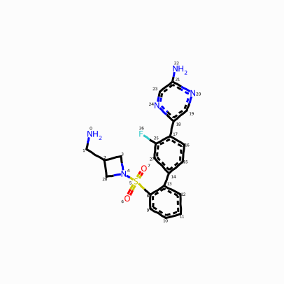 NCC1CN(S(=O)(=O)c2ccccc2-c2ccc(-c3cnc(N)cn3)c(F)c2)C1